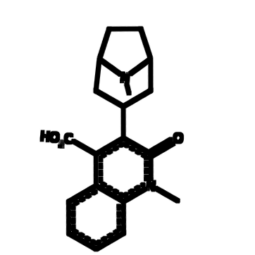 CN1C2CCC1CC(c1c(C(=O)O)c3ccccc3n(C)c1=O)C2